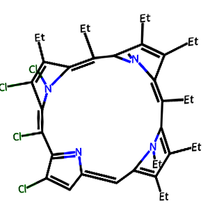 CCC1=C(CC)c2nc1c(CC)c1c(CC)c(Cl)c(c(Cl)c3nc(cc4c(CC)c(CC)c(c2CC)n4CC)C=C3Cl)n1Cl